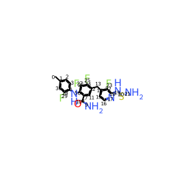 Cc1ccc(Nc2c(C(N)=O)cc(Cc3ccnc(NSN)c3F)c(F)c2F)c(F)c1